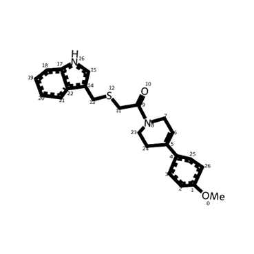 COc1ccc(C2=CCN(C(=O)CSCc3c[nH]c4ccccc34)CC2)cc1